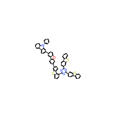 c1ccc(-n2c3ccccc3c3ccc(-c4ccc5oc6cc(-c7ccc8c(c7)sc7cccc(-c9nc(-c%10ccc%11c(c%10)sc%10ccccc%10%11)nc(-c%10ccc%11c(c%10)sc%10ccccc%10%11)n9)c78)ccc6c5c4)cc32)cc1